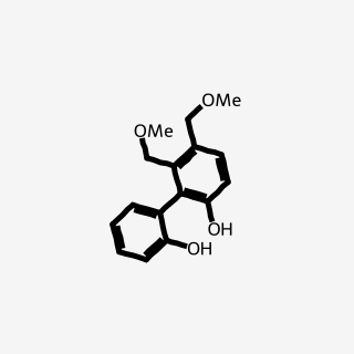 COCc1ccc(O)c(-c2ccccc2O)c1COC